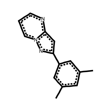 Cc1cc(C)cc(-c2cc3ncccn3n2)c1